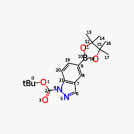 CC(C)(C)OC(=O)n1ncc2cc(B3OC(C)(C)C(C)(C)O3)ccc21